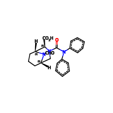 O=CN1[C@H]2CCC[C@@H]1[C@@H](C(=O)O)N(C(=O)N(c1ccccc1)c1ccccc1)C2